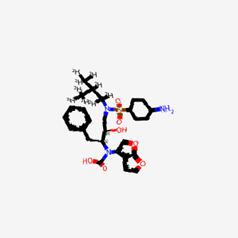 [2H]C([2H])([2H])C([2H])(C([2H])([2H])[2H])C([2H])([2H])N(C[C@@H](O)[C@H](Cc1ccccc1)N(C(=O)O)c1coc2occc12)S(=O)(=O)C1CCC(N)CC1